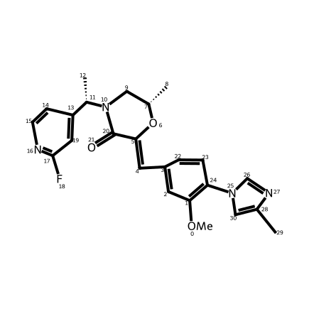 COc1cc(/C=C2\O[C@@H](C)CN([C@@H](C)c3ccnc(F)c3)C2=O)ccc1-n1cnc(C)c1